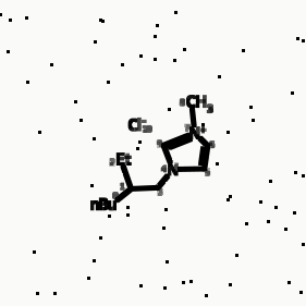 CCCCC(CC)Cn1cc[n+](C)c1.[Cl-]